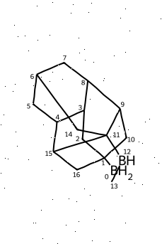 BC12CC3C4CC5CC3C(C1)C(BC)(C5)C4C2